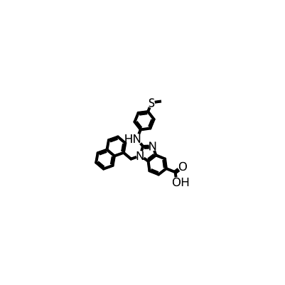 CSc1ccc(Nc2nc3cc(C(=O)O)ccc3n2Cc2cccc3ccccc23)cc1